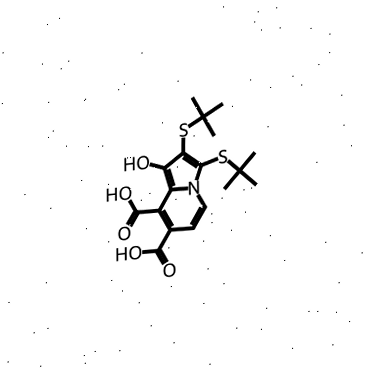 CC(C)(C)Sc1c(O)c2c(C(=O)O)c(C(=O)O)ccn2c1SC(C)(C)C